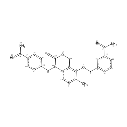 Cc1ncc2c(c1OCc1cccc(C(=N)N)c1)COC(=O)N2Cc1ccc(C(=N)N)cc1